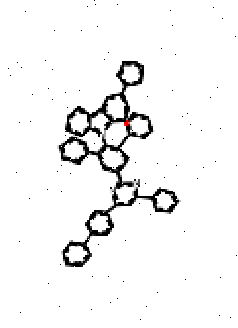 c1ccc(-c2ccc(-c3cc(-c4ccccc4)nc(-c4cc(-c5ccccc5)c(-n5c6ccccc6c6cc(-c7ccccc7)ccc65)c(-c5ccccc5)c4)n3)cc2)cc1